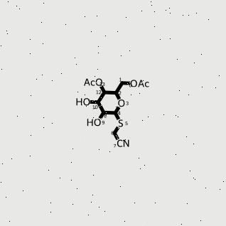 CC(=O)OCC1OC(SCC#N)C(O)C(O)C1OC(C)=O